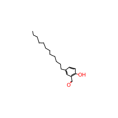 CCCCCCCCCCCCc1ccc(O)c(C=O)c1